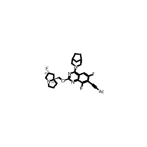 CC(=O)C#Cc1c(F)cc2c(N3CC4CCC(C4)C3)nc(OC[C@@]34CCCN3C[C@H](F)C4)nc2c1F